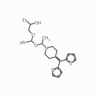 CCCC(OCC(O)CC)OC(C)N1CCC(=C(c2cccs2)c2cccs2)CC1